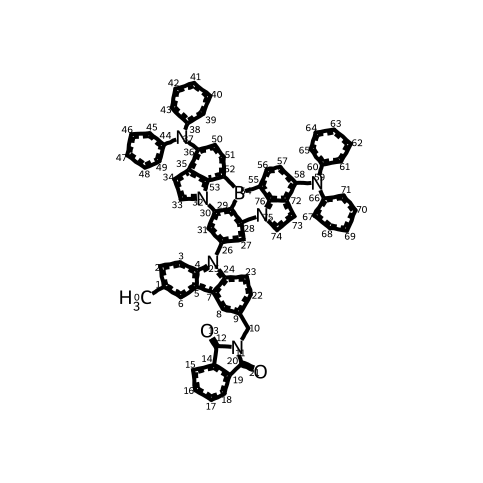 Cc1ccc2c(c1)c1cc(CN3C(=O)c4ccccc4C3=O)ccc1n2-c1cc2c3c(c1)-n1ccc4c(N(c5ccccc5)c5ccccc5)ccc(c41)B3c1ccc(N(c3ccccc3)c3ccccc3)c3ccn-2c13